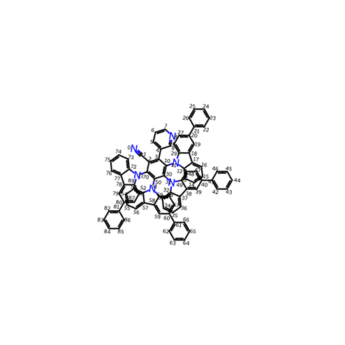 N#Cc1c(-c2cccnc2)c(-n2c3ccccc3c3cc(-c4ccccc4)ccc32)c(-n2c3ccccc3c3cc(-c4ccccc4)ccc32)c(-n2c3ccccc3c3cc(-c4ccccc4)ccc32)c1-n1c2ccccc2c2cc(-c3ccccc3)ccc21